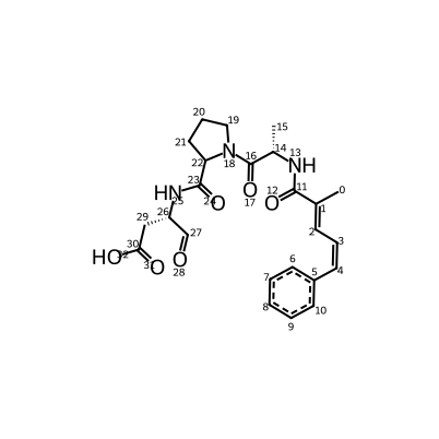 C/C(=C\C=C/c1ccccc1)C(=O)N[C@@H](C)C(=O)N1CCCC1C(=O)N[C@H](C=O)CC(=O)O